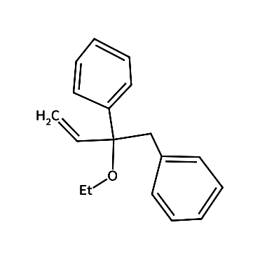 C=CC(Cc1ccccc1)(OCC)c1ccccc1